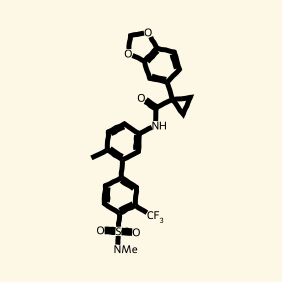 CNS(=O)(=O)c1ccc(-c2cc(NC(=O)C3(c4ccc5c(c4)OCO5)CC3)ccc2C)cc1C(F)(F)F